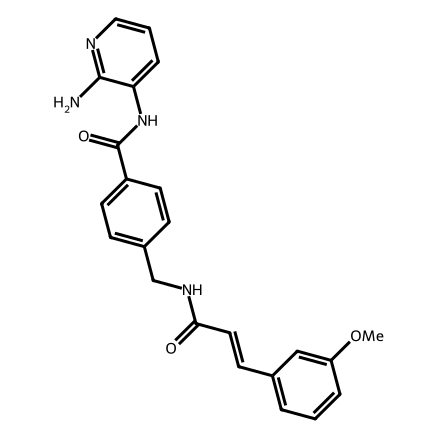 COc1cccc(C=CC(=O)NCc2ccc(C(=O)Nc3cccnc3N)cc2)c1